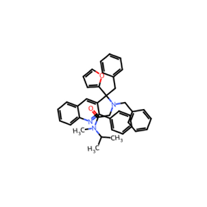 CC(C)N(C)C(=O)CN(Cc1ccccc1)C(Cc1ccccc1)(c1ccco1)c1cc2ccccc2nc1-c1ccccc1